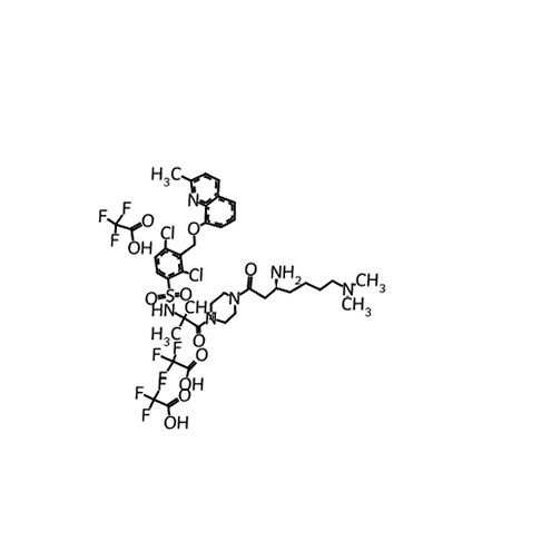 Cc1ccc2cccc(OCc3c(Cl)ccc(S(=O)(=O)NC(C)(C)C(=O)N4CCN(C(=O)C[C@@H](N)CCCCN(C)C)CC4)c3Cl)c2n1.O=C(O)C(F)(F)F.O=C(O)C(F)(F)F.O=C(O)C(F)(F)F